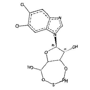 OC1OSPOC2C1O[C@@H](n1cnc3cc(Cl)c(Cl)cc31)[C@@H]2O